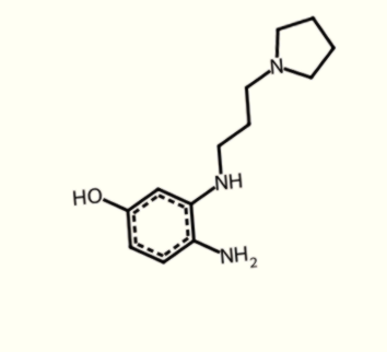 Nc1ccc(O)cc1NCCCN1CCCC1